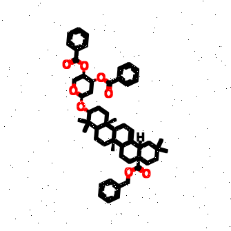 CC1(C)CC[C@]2(C(=O)OCc3ccccc3)CCC3C(=CCC4[C@@]3(C)CCC3C(C)(C)[C@@H](O[C@H]5C[C@@H](OC(=O)c6ccccc6)[C@@H](OC(=O)c6ccccc6)CO5)CC[C@@]34C)[C@@H]2C1